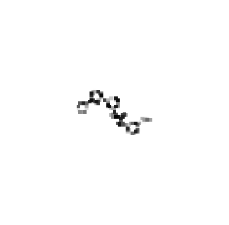 COc1cccc(NC(=O)Nc2cccc(-c3cccc(N4CCCC4)n3)c2)c1